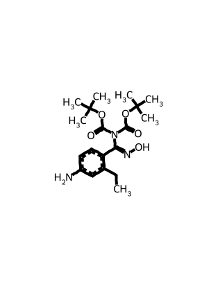 CCc1cc(N)ccc1C(=NO)N(C(=O)OC(C)(C)C)C(=O)OC(C)(C)C